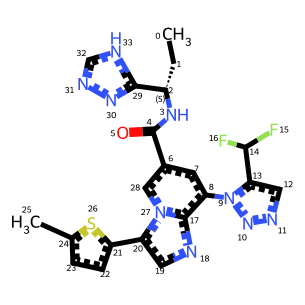 CC[C@H](NC(=O)c1cc(-n2nncc2C(F)F)c2ncc(-c3ccc(C)s3)n2c1)c1nnc[nH]1